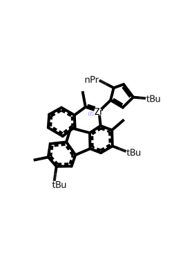 CCCC1C=C(C(C)(C)C)C=[C]1/[Zr](=[C](\C)c1ccccc1)[c]1c(C)c(C(C)(C)C)cc2c1Cc1cc(C)c(C(C)(C)C)cc1-2